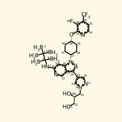 BC(B)(B)C(B)(B)Nc1cc2c(cn1)c(-c1cnn(C[C@H](O)CO)c1)nn2[C@H]1CC[C@@H](Oc2nccc(C(F)(F)F)c2F)CC1